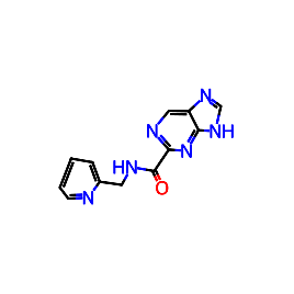 O=C(NCc1ccccn1)c1ncc2nc[nH]c2n1